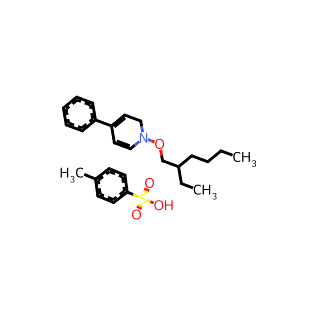 CCCCC(CC)CON1C=CC(c2ccccc2)=CC1.Cc1ccc(S(=O)(=O)O)cc1